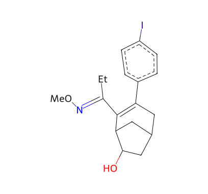 CCC(=NOC)C1=C(c2ccc(I)cc2)CC2CC(O)C1C2